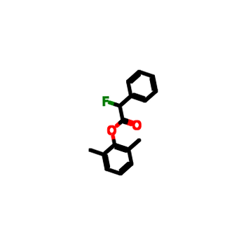 Cc1cccc(C)c1OC(=O)C(F)c1ccccc1